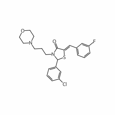 O=C1/C(=C/c2cccc(F)c2)SC(c2cccc(Cl)c2)N1CCCN1CCOCC1